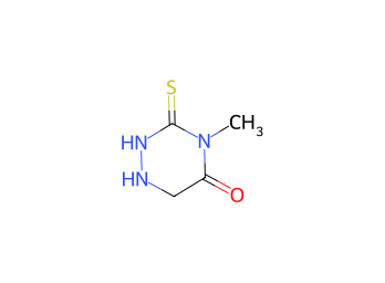 CN1C(=O)CNNC1=S